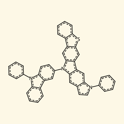 c1ccc(-n2ccc3cc4c(cc32)c2cc3sc5ccccc5c3cc2n4-c2ccc3c(c2)c2ccccc2n3-c2ccccc2)cc1